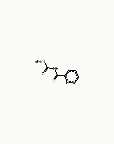 CCCCCC(=O)NC(=O)c1ccccn1